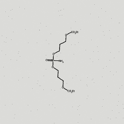 CCOC(=O)OCCCOP(N)(=O)OCCCOC(=O)OCC